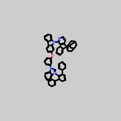 C1=CCCC(C2(c3ccnc(-n4c5ccccc5c5ccc(Oc6cccc(-n7c[n+](C8=C(C9C=CC=CC9)C=CCC8C8=CCCC=C8)c8ccccc87)c6)cc54)c3)C3CC4CC(C3)CC2C4)=C1